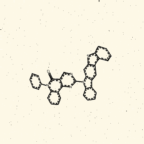 O=c1c2cnc(-n3c4ccccc4c4cc5c(cc43)sc3ccccc35)nc2c2ccccc2n1-c1ccccc1